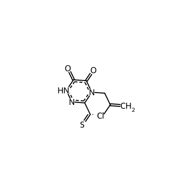 C=C(Cl)Cn1c([C]=S)n[nH]c(=O)c1=O